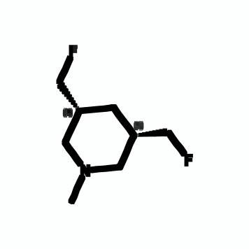 CN1C[C@H](CF)C[C@H](CF)C1